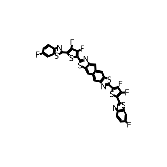 Fc1ccc2nc(-c3sc(-c4nc5cc6cc7sc(-c8sc(-c9nc%10ccc(F)cc%10s9)c(F)c8F)nc7cc6cc5s4)c(F)c3F)sc2c1